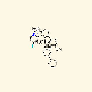 Cc1ccc2c(c1-c1cc(F)cc[n+]1C)C(C)(C)c1c-2ccc(C#N)c1-c1cccc(-c2ccccc2)c1